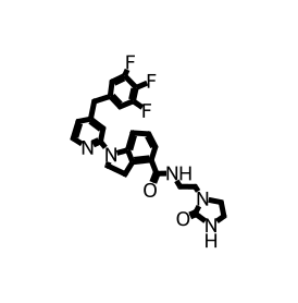 O=C(NCCN1CCNC1=O)c1cccc2c1CCN2c1cc(Cc2cc(F)c(F)c(F)c2)ccn1